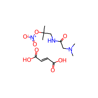 CN(C)CC(=O)NCC(C)(C)O[N+](=O)[O-].O=C(O)C=CC(=O)O